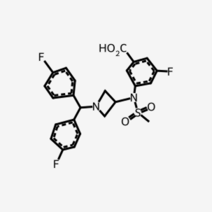 CS(=O)(=O)N(c1cc(F)cc(C(=O)O)c1)C1CN(C(c2ccc(F)cc2)c2ccc(F)cc2)C1